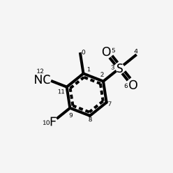 Cc1c(S(C)(=O)=O)ccc(F)c1C#N